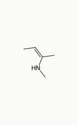 C/C=C(/C)NC